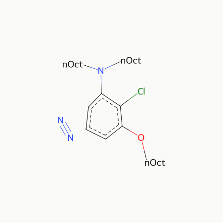 CCCCCCCCOc1cccc(N(CCCCCCCC)CCCCCCCC)c1Cl.N#N